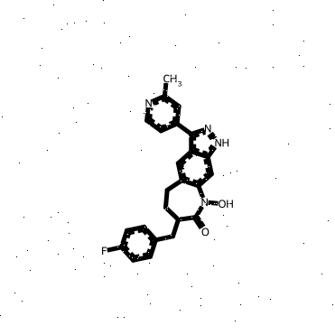 Cc1cc(-c2n[nH]c3cc4c(cc23)CCC(Cc2ccc(F)cc2)C(=O)N4O)ccn1